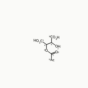 CC(=O)C(=O)OC(C(=O)O)C(O)C(=O)O